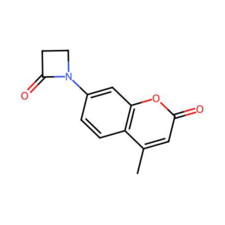 Cc1cc(=O)oc2cc(N3CCC3=O)ccc12